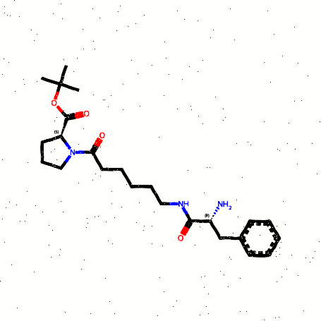 CC(C)(C)OC(=O)[C@@H]1CCCN1C(=O)CCCCCNC(=O)[C@H](N)Cc1ccccc1